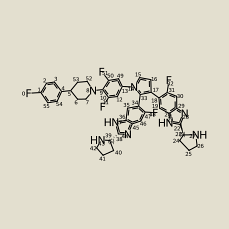 Fc1ccc(C2CCN(c3c(F)cc(-n4ccc(-c5cc6[nH]c([C@@H]7CCCN7)nc6cc5F)c4-c4cc5[nH]c([C@@H]6CCCN6)nc5cc4F)cc3F)CC2)cc1